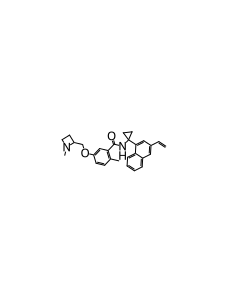 C=Cc1cc(C2(NC(=O)c3cc(OCC4CCN4C)ccc3C)CC2)c2ccccc2c1